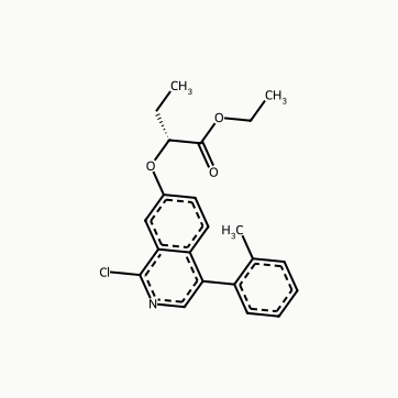 CCOC(=O)[C@@H](CC)Oc1ccc2c(-c3ccccc3C)cnc(Cl)c2c1